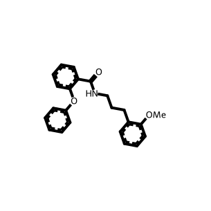 COc1ccccc1CCCNC(=O)c1ccccc1Oc1ccccc1